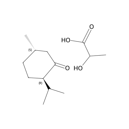 CC(C)[C@H]1CC[C@H](C)CC1=O.CC(O)C(=O)O